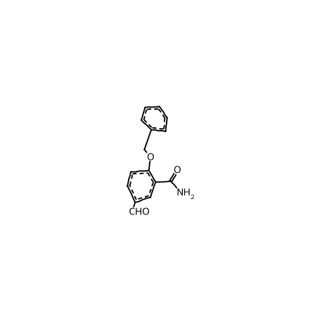 NC(=O)c1cc(C=O)ccc1OCc1ccccc1